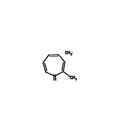 CC1=CC=CC=CN1.[CH3]